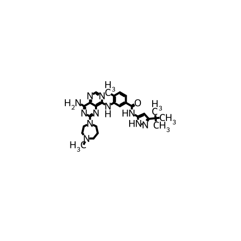 Cc1ccc(C(=O)Nc2cc(C(C)(C)C)n[nH]2)cc1Nc1ncnc2c(N)nc(N3CCCN(C)CC3)nc12